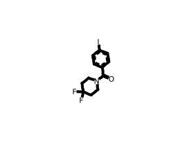 O=C(c1ccc(I)cc1)N1CCC(F)(F)CC1